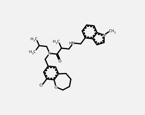 CC(C)CN(Cc1cc(Cl)c2c(c1)CCCCO2)C(=O)C(C)CNCc1cccc2c1ccn2C